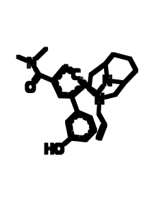 C=CCN1CCC2CCCC(C1)N2Cc1ccc(C(=O)N(C)C)cc1-c1cccc(O)c1